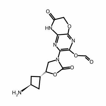 N[C@H]1C[C@H](C2CN(c3nc4c(nc3OC=O)OCC(=O)N4)C(=O)O2)C1